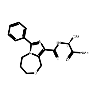 CNC(=O)[C@@H](NC(=O)c1nc(-c2ccccc2)n2c1COCCC2)C(C)(C)C